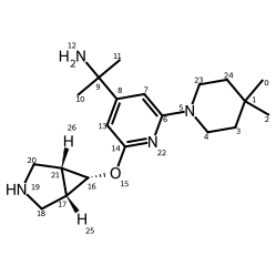 CC1(C)CCN(c2cc(C(C)(C)N)cc(O[C@@H]3[C@@H]4CNC[C@@H]43)n2)CC1